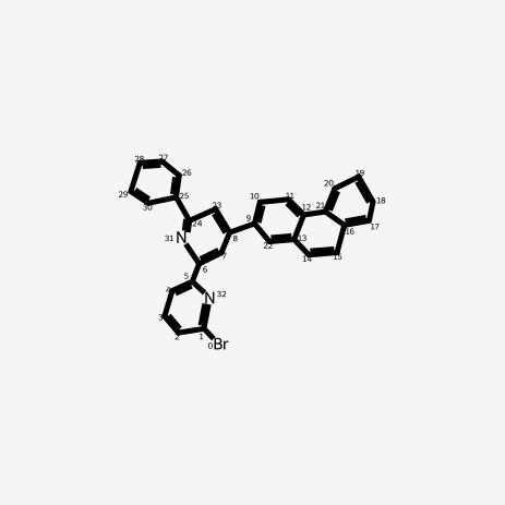 Brc1cccc(-c2cc(-c3ccc4c(ccc5ccccc54)c3)cc(-c3ccccc3)n2)n1